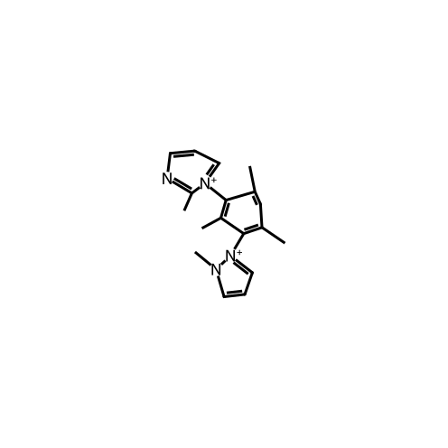 Cc1cc(C)c(-[n+]2cccn2C)c(C)c1-[n+]1cccnc1C